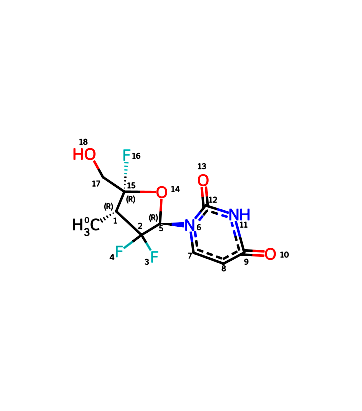 C[C@H]1C(F)(F)[C@H](n2ccc(=O)[nH]c2=O)O[C@]1(F)CO